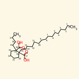 CCCCCCCCCCCCCCCCC1(C(=O)O)CCCCC1(CCCC)C(=O)O